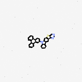 c1ccc2c(c1)c1ccccc1c1cc(-n3c4ccccc4c4cc5c(cc43)sc3cncnc35)ccc21